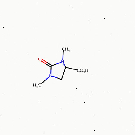 CN1CC(C(=O)O)N(C)C1=O